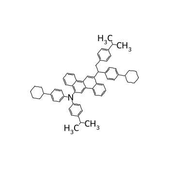 CC(C)c1ccc(CC(c2ccc(C3CCCCC3)cc2)c2cc3c4ccccc4c(N(c4ccc(C(C)C)cc4)c4ccc(C5CCCCC5)cc4)cc3c3ccccc23)cc1